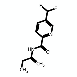 C=C(CC)NC(=O)c1ccc(C(F)F)cn1